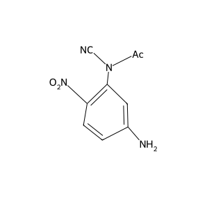 CC(=O)N(C#N)c1cc(N)ccc1[N+](=O)[O-]